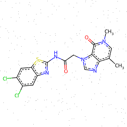 Cc1cn(C)c(=O)c2c1ncn2CC(=O)Nc1nc2cc(Cl)c(Cl)cc2s1